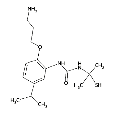 CC(C)c1ccc(OCCCN)c(NC(=O)NC(C)(C)S)c1